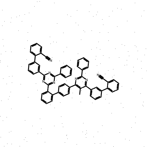 Cc1c(-c2ccc(-c3ccccc3-c3nc(-c4ccccc4)nc(-c4cccc(-c5ccccc5C#N)c4)n3)cc2)nc(-c2ccccc2)nc1-c1cccc(-c2ccccc2C#N)c1